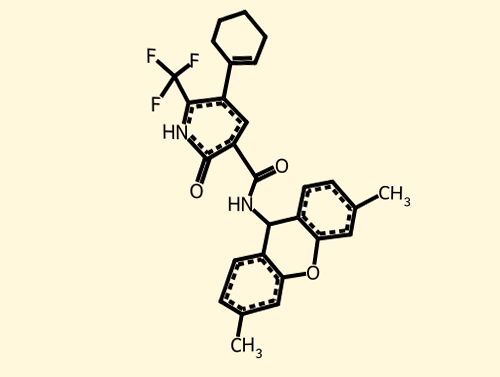 Cc1ccc2c(c1)Oc1cc(C)ccc1C2NC(=O)c1cc(C2=CCCCC2)c(C(F)(F)F)[nH]c1=O